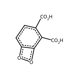 O=C(O)c1ccc2ooc2c1C(=O)O